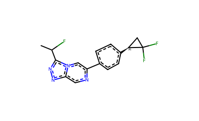 CC(F)c1nnc2cnc(-c3ccc([C@H]4CC4(F)F)cc3)cn12